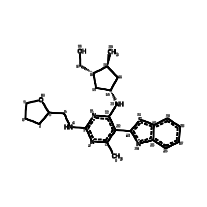 Cc1nc(NCC2CCCO2)nc(N[C@@H]2C[C@H](CO)[C@@H](C)C2)c1-c1nc2ccccc2s1